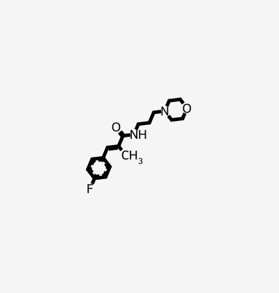 C/C(=C\c1ccc(F)cc1)C(=O)NCCCN1CCOCC1